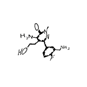 Cn1nc(-c2ccc(F)c(CN)c2)c(CCO)c(N)c1=O